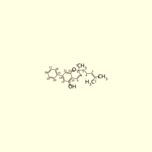 CC(C)=CCCC1(C)C=Cc2c(O)cc(-c3ccccc3)cc2O1